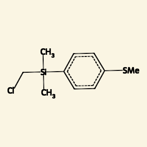 CSc1ccc([Si](C)(C)CCl)cc1